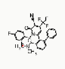 CN(C)C(=O)c1cccc(-c2ccccc2)c1-c1cc(C(F)(F)F)c(C#N)c(=O)n1Cc1ccc(F)cc1F